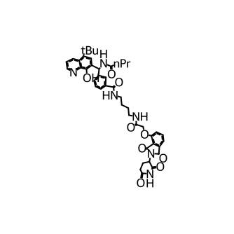 CCCC(=O)NC(c1cccc(C(=O)NCCCCNC(=O)COc2cccc3c2C(=O)N(C2CCC(=O)NC2=O)C3=O)c1)c1cc(C(C)(C)C)c2cccnc2c1O